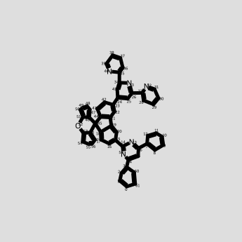 c1ccc(-c2cc(-c3ccccc3)nc(-c3ccc4c(c3)-c3cc(-c5cc(-c6ccccn6)nc(-c6ccccn6)c5)ccc3C43c4ccccc4Oc4ccccc43)n2)cc1